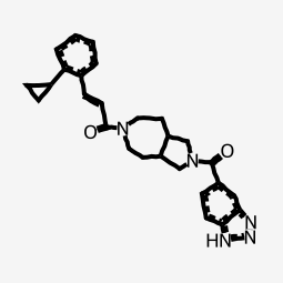 O=C(/C=C/c1ccccc1C1CC1)N1CCC2CN(C(=O)c3ccc4[nH]nnc4c3)CC2CC1